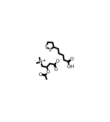 CC(=O)OC(CC(=O)[O-])C[N+](C)(C)C.O=C(O)CCCCC1CCSS1